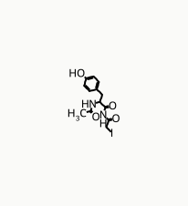 CC(=O)NC(Cc1ccc(O)cc1)C(=O)NC(=O)CI